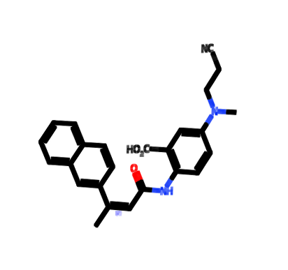 C/C(=C/C(=O)Nc1ccc(N(C)CCC#N)cc1C(=O)O)c1ccc2ccccc2c1